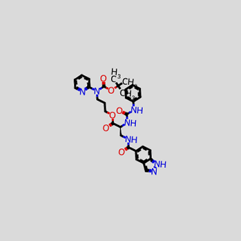 CC(C)(C)OC(=O)N(CCCOC(=O)[C@H](CNC(=O)c1ccc2[nH]ncc2c1)NC(=O)Nc1ccccc1)c1ccccn1